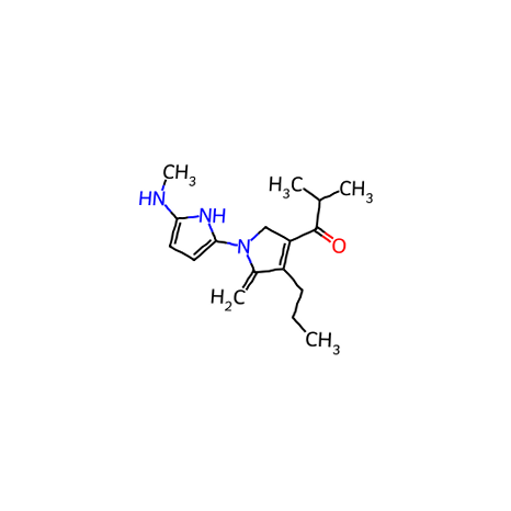 C=C1C(CCC)=C(C(=O)C(C)C)CN1c1ccc(NC)[nH]1